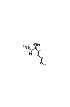 CCCCCC(=N)NO